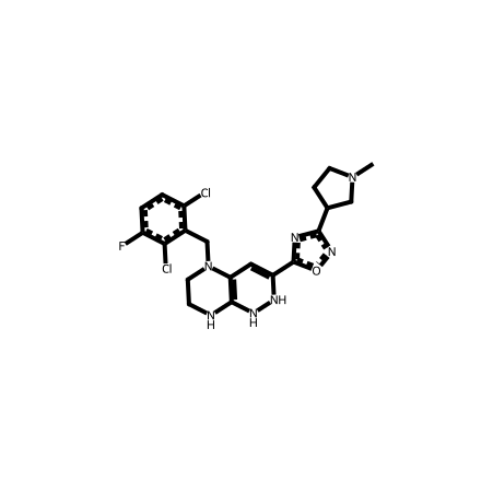 CN1CCC(c2noc(C3=CC4=C(NCCN4Cc4c(Cl)ccc(F)c4Cl)NN3)n2)C1